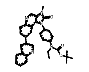 CCN(C(=O)OC(C)(C)C)c1ccc(-n2c(=O)n(C)c3cnc4ccc(-c5cnc6ccccc6c5)cc4c32)cc1